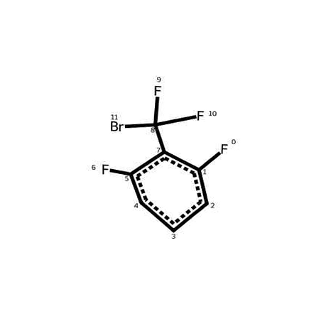 Fc1cccc(F)c1C(F)(F)Br